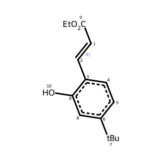 CCOC(=O)/C=C/c1ccc(C(C)(C)C)cc1O